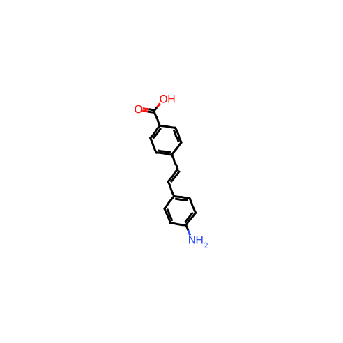 Nc1ccc(C=Cc2ccc(C(=O)O)cc2)cc1